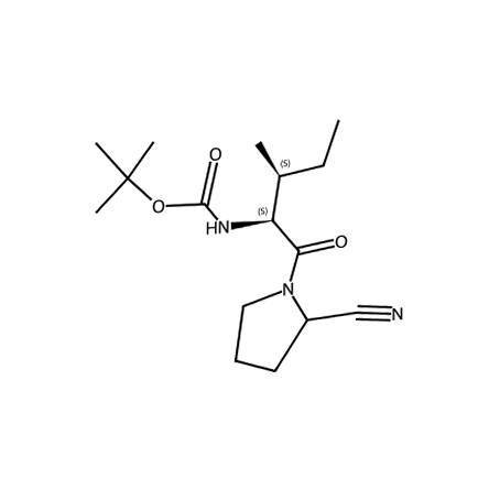 CC[C@H](C)[C@H](NC(=O)OC(C)(C)C)C(=O)N1CCCC1C#N